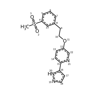 CS(=O)(=O)c1cccc(CCOc2ccc(-c3ccn[nH]3)nc2)c1